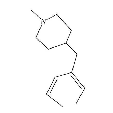 C/C=C\C(=C/C)CC1CCN(C)CC1